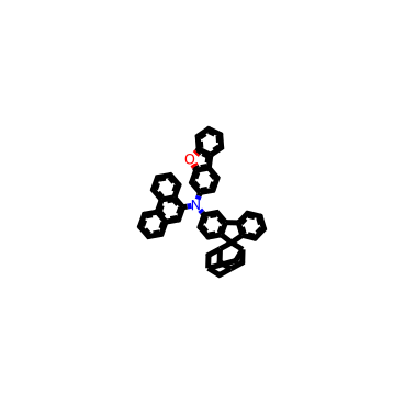 c1ccc2c(c1)-c1cc(N(c3ccc4c(c3)oc3ccccc34)c3cc4ccccc4c4ccccc34)ccc1C21C2CC3CC(C2)CC1C3